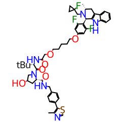 Cc1ncsc1-c1ccc(CNC(=O)[C@@H]2C[C@@H](O)CN2C(=O)[C@@H](NC(=O)COCCCCCOc2cc(F)c([C@@H]3c4[nH]c5ccccc5c4C[C@@H](C)N3CC3(F)CC3)c(F)c2)C(C)(C)C)cc1